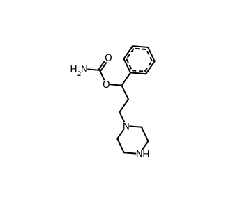 NC(=O)OC(CCN1CCNCC1)c1ccccc1